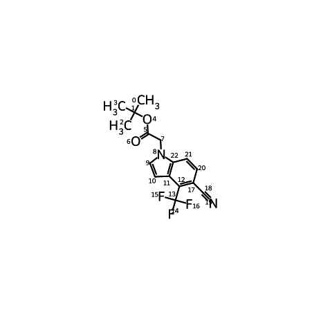 CC(C)(C)OC(=O)Cn1ccc2c(C(F)(F)F)c(C#N)ccc21